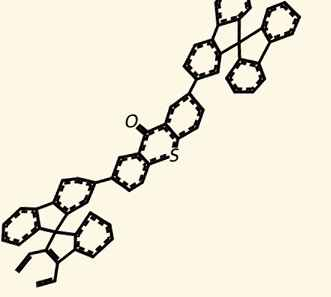 C=CC1=C(C=C)C2(c3ccccc31)c1ccccc1-c1ccc(-c3ccc4sc5ccc(-c6ccc7c(c6)C6(c8ccccc8-c8ccccc86)c6ccccc6-7)cc5c(=O)c4c3)cc12